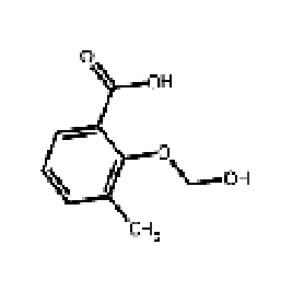 Cc1cccc(C(=O)O)c1OCO